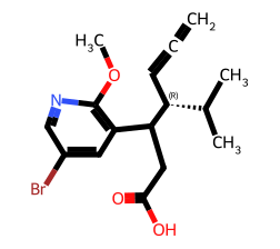 C=C=C[C@H](C(C)C)C(CC(=O)O)c1cc(Br)cnc1OC